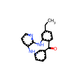 CCc1ccc(C(=O)c2ccccc2)c(Nc2ncccc2N)c1